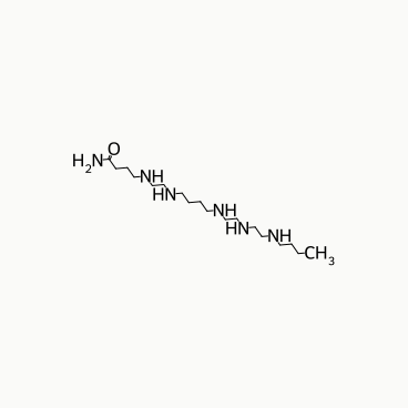 CCCCNCCNCCNCCCCNCCNCCCC(N)=O